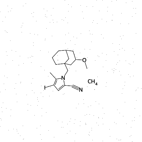 C.COC1CC2CCCC(Cn3c(C#N)cc(I)c3C)(C2)C1